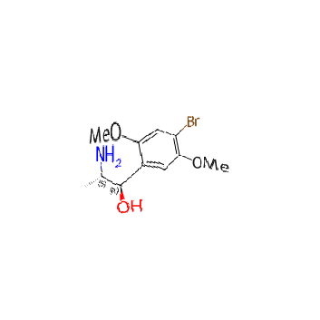 COc1cc([C@@H](O)[C@H](C)N)c(OC)cc1Br